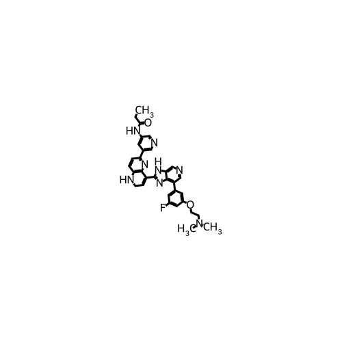 CCC(=O)Nc1cncc(-c2ccc3c(n2)C(c2nc4c(-c5cc(F)cc(OCCN(C)C)c5)cncc4[nH]2)=CCN3)c1